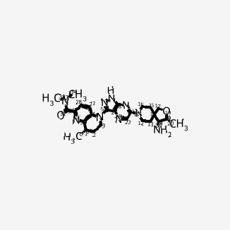 C[C@@H]1CCN(c2n[nH]c3nc(N4CCC5(CC4)CO[C@@H](C)[C@H]5N)cnc23)c2ccc(C(=O)N(C)C)nc21